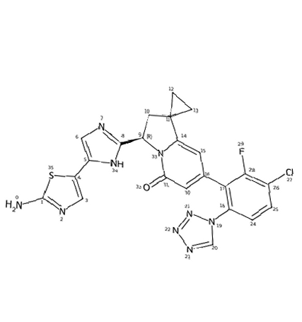 Nc1ncc(-c2cnc([C@H]3CC4(CC4)c4cc(-c5c(-n6cnnn6)ccc(Cl)c5F)cc(=O)n43)[nH]2)s1